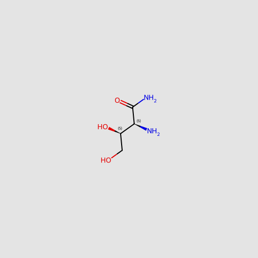 NC(=O)[C@@H](N)[C@H](O)CO